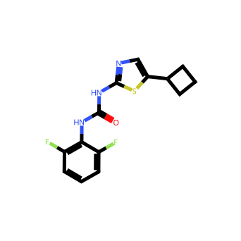 O=C(Nc1ncc(C2CCC2)s1)Nc1c(F)cccc1F